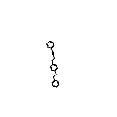 C(#Cc1cccnn1)CCc1ccc(OCc2ccccc2)cc1